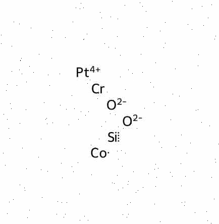 [Co].[Cr].[O-2].[O-2].[Pt+4].[Si]